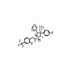 C[C@H]([C@](O)(Cn1cncn1)c1ccc(F)cc1F)S(=O)(=O)N(C)Cc1ccc(C(F)(F)F)cc1F